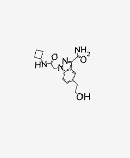 NC(=O)c1nn(CC(=O)NC2CCC2)c2ccc(CCO)cc12